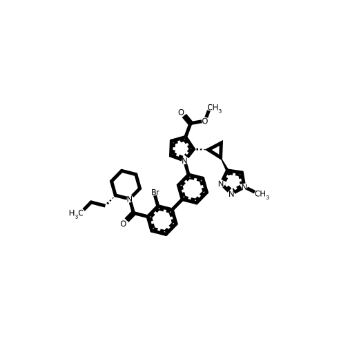 CCC[C@@H]1CCCCN1C(=O)c1cccc(-c2cccc(-n3ccc(C(=O)OC)c3[C@@H]3C[C@H]3c3cn(C)nn3)c2)c1Br